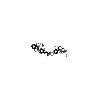 CN(C)C(=O)c1ccc(OC[C@@H](F)CCC2CCN(C(=O)[C@](O)(c3ccccc3)C(F)(F)F)CC2)cc1Cl